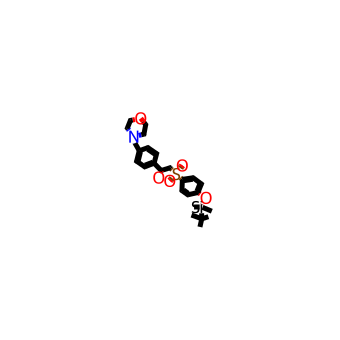 CC(C)(C)[Si](C)(C)Oc1ccc(S(=O)(=O)CC(=O)c2ccc(CN3CCOCC3)cc2)cc1